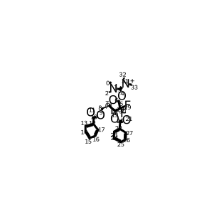 CN(C)C(OC1O[C@H](COC(=O)c2ccccc2)[C@H](OC(=O)c2ccccc2)C1(F)F)=[N+](C)C